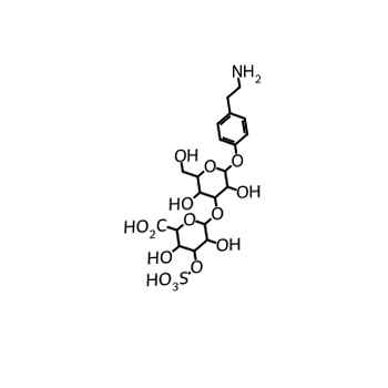 NCCc1ccc(OC2OC(CO)C(O)C(OC3OC(C(=O)O)C(O)C(OS(=O)(=O)O)C3O)C2O)cc1